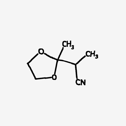 CC(C#N)C1(C)OCCO1